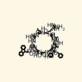 CC[C@H](C)[C@@H]1NC(=O)[C@@H](CCCNC(=N)N)NC(=O)[C@H](CC(C)C)NC(=O)[C@H]([C@H](O)C(C)C)NC(=O)[C@@H](NC(=O)OCc2ccccc2)[C@@H](c2ccccc2)NC(=O)C(CO)NC(=O)[C@H](CNC(=O)OCC2c3ccccc3-c3ccccc32)NC(=O)CNC(=O)[C@H]([C@H](C)O)NC1=O